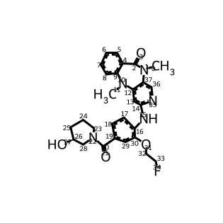 CN1C(=O)c2ccccc2N(C)c2cc(Nc3ccc(C(=O)N4CCC[C@H](O)C4)cc3OCCF)ncc21